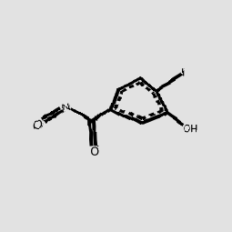 O=NC(=O)c1ccc(I)c(O)c1